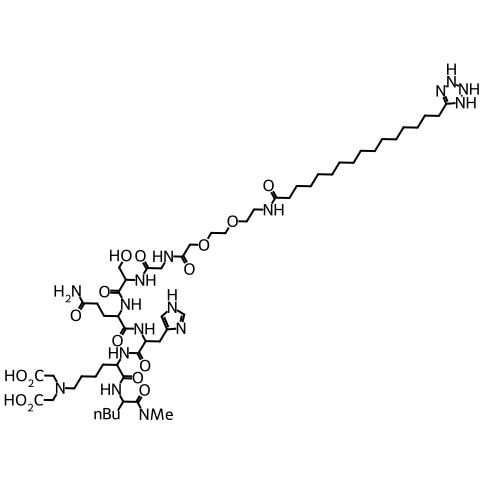 CCCCC(NC(=O)C(CCCCN(CC(=O)O)CC(=O)O)NC(=O)C(Cc1c[nH]cn1)NC(=O)C(CCC(N)=O)NC(=O)C(CO)NC(=O)CNC(=O)COCCOCCNC(=O)CCCCCCCCCCCCCCCC1=NNNN1)C(=O)NC